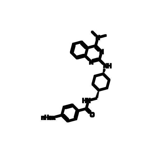 CCCCCCc1ccc(C(=O)NC[C@H]2CC[C@@H](Nc3nc(N(C)C)c4ccccc4n3)CC2)cc1